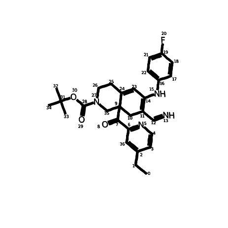 CCc1ccnc(C(=O)C23CC(C=N)=C(Nc4ccc(F)cc4)C=C2CCN(C(=O)OC(C)(C)C)C3)c1